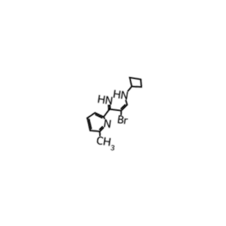 Cc1cccc(C(=N)/C(Br)=C\NC2CCC2)n1